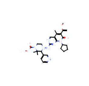 C=C(OCC)c1c(C)c2cnc(NN3CCN(C(=O)OC(C)(C)C)C(C)(C)C3c3cccnc3)nc2n(C2CCCC2)c1=O